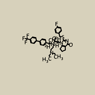 [2H]C(C)(c1ccc(-c2ccc(C(F)(F)F)cc2)cc1)N(CCN(CC)CC)C(=O)C([2H])([2H])n1c(SCc2ccc(F)cc2)nc(=O)c2c1CCC2